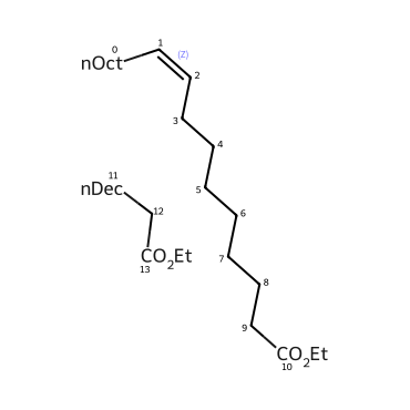 CCCCCCCC/C=C\CCCCCCCC(=O)OCC.CCCCCCCCCCCC(=O)OCC